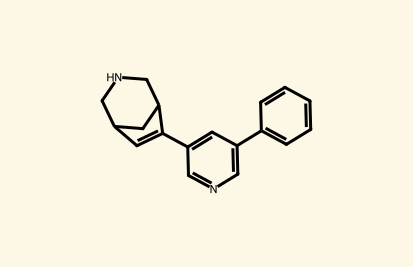 C1=C(c2cncc(-c3ccccc3)c2)C2CNCC1C2